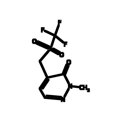 Cn1nccc(CS(=O)(=O)C(F)(F)F)c1=O